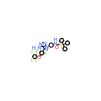 Nc1ncnc2c1c(-c1ccc(Oc3c(F)c(F)cc(F)c3F)cc1F)nn2C1CCC(NC(=O)CSC(c2ccccc2)(c2ccccc2)c2ccccc2)CC1